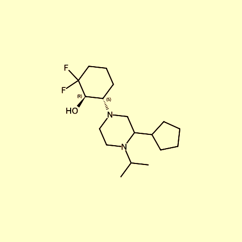 CC(C)N1CCN([C@H]2CCCC(F)(F)[C@@H]2O)CC1C1CCCC1